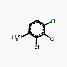 CCc1c([SiH3])ccc(Cl)c1Cl